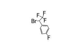 Fc1ccc(C(Br)C(F)(F)F)cc1